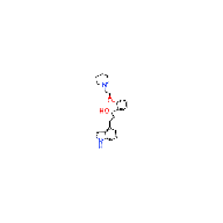 OC(CCc1cccc2[nH]ccc12)c1ccccc1OCCN1CCCCC1